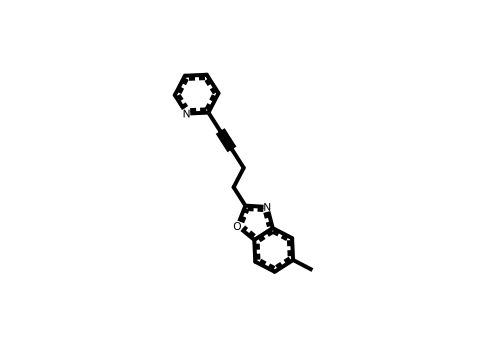 Cc1ccc2oc(CCC#Cc3ccccn3)nc2c1